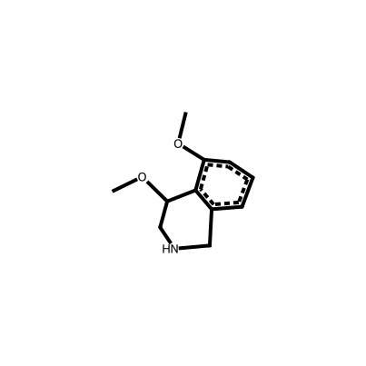 COc1cccc2c1C(OC)CNC2